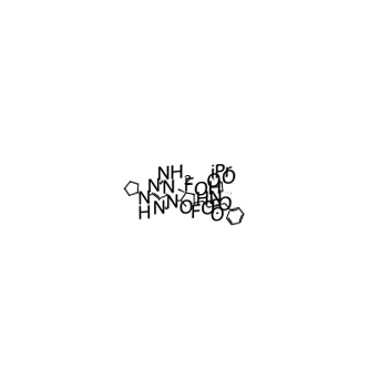 CC(C)OC(=O)[C@H](C)NP(=O)(OC[C@@]1(F)O[C@@H](n2cnc3c(NC4CCCC4)nc(N)nc32)[C@](C)(F)[C@@H]1O)Oc1ccccc1